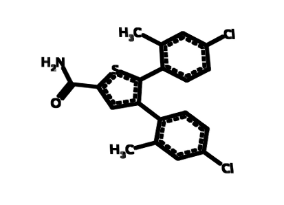 Cc1cc(Cl)ccc1-c1cc(C(N)=O)sc1-c1ccc(Cl)cc1C